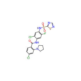 O=C(Nc1cc(F)c(NS(=O)(=O)c2ncns2)cc1Cl)c1ccc(Cl)cc1N1CCCC1